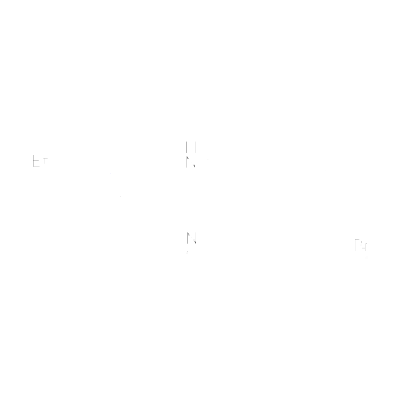 CC/C=C/c1nc2cc(Br)ccc2[nH]1